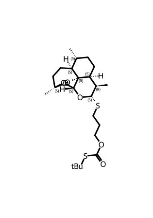 C[C@H]1[C@H](SCCCOC(=O)SC(C)(C)C)O[C@@H]2O[C@]3(C)CC[C@H]4[C@H](C)CC[C@@H]1[C@@]24OO3